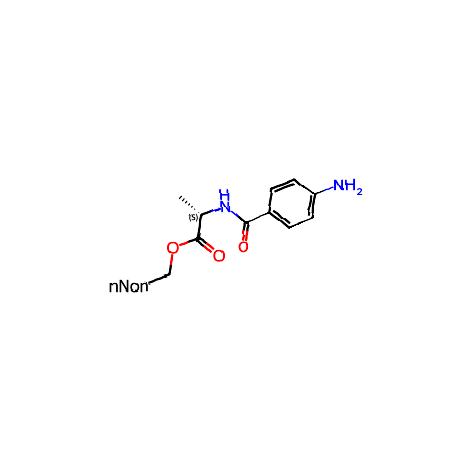 CCCCCCCCCCOC(=O)[C@H](C)NC(=O)c1ccc(N)cc1